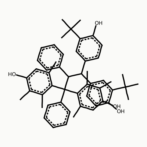 Cc1cc(O)c(C)c(C)c1C(c1ccccc1)(c1c(C)cc(O)c(C)c1C)C(c1ccccc1)C(c1ccc(O)c(C(C)(C)C)c1)c1ccc(O)c(C(C)(C)C)c1